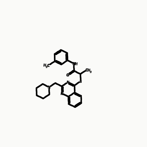 Cc1cccc(NC(=O)C(C)Sc2nc(CN3CCCCC3)nc3ccccc23)c1